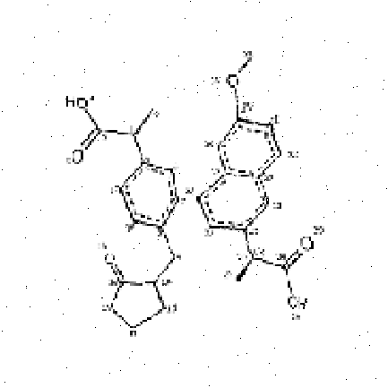 CC(C(=O)O)c1ccc(CC2CCCC2=O)cc1.COc1ccc2cc([C@H](C)C(=O)O)ccc2c1